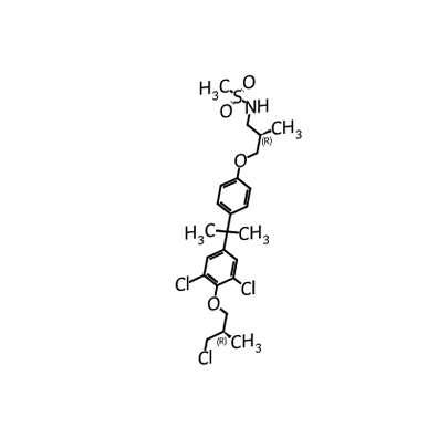 C[C@H](CNS(C)(=O)=O)COc1ccc(C(C)(C)c2cc(Cl)c(OC[C@@H](C)CCl)c(Cl)c2)cc1